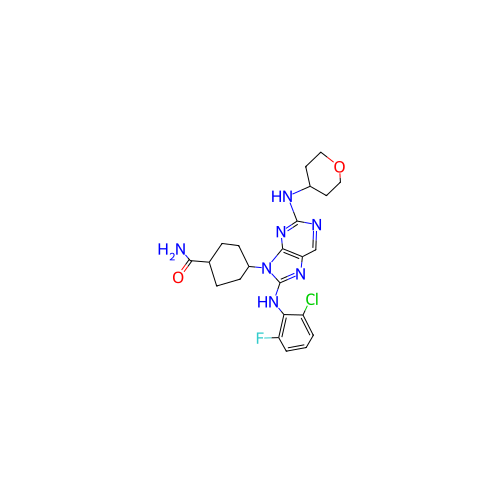 NC(=O)C1CCC(n2c(Nc3c(F)cccc3Cl)nc3cnc(NC4CCOCC4)nc32)CC1